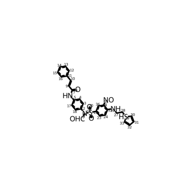 O=CN(c1ccc(NC(=O)C=Cc2ccccc2)cc1)S(=O)(=O)c1ccc(NCC[SH]2C=CC=C2)c(N=O)c1